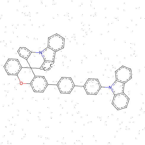 c1ccc2c(c1)Oc1ccc(-c3ccc(-c4ccc(-n5c6ccccc6c6ccccc65)cc4)cc3)cc1C21c2ccccc2-n2c3ccccc3c3cccc1c32